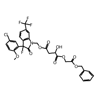 COc1ccc(Cl)cc1C1(F)C(=O)N(COC(=O)CC(O)C(=O)OCC(=O)OCc2ccccc2)c2cc(C(F)(F)F)ccc21